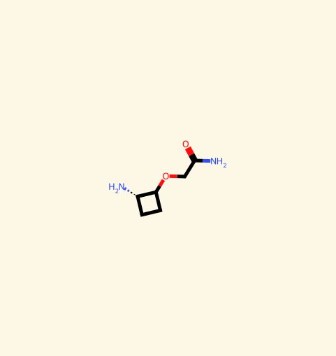 NC(=O)COC1CC[C@@H]1N